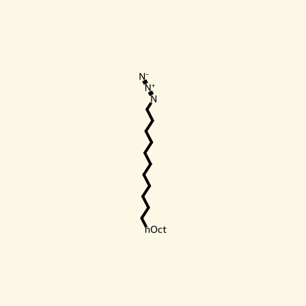 CCCCCCCCCCCCCCCCCCCN=[N+]=[N-]